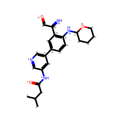 CC(C)CC(=O)Nc1cncc(-c2ccc(NC3CCCCO3)c(C(=N)C=O)c2)c1